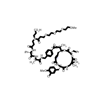 COCCOCCOCCOCCC(=O)N(CCC(=O)O)CCC(=O)N[C@H](C(=O)N[C@@H](C)C(=O)NCc1ccc([C@H]2O[C@@H]2[C@@H](C)[C@@H]2C/C=C/C(=O)N[C@@H](Cc3ccc(OC)c(Cl)c3)C(=O)NCC(C)(C)C(=O)O[C@@H](CC(C)C)C(=O)O2)cc1)C(C)C